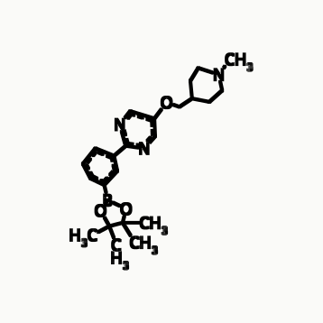 CN1CCC(COc2cnc(-c3cccc(B4OC(C)(C)C(C)(C)O4)c3)nc2)CC1